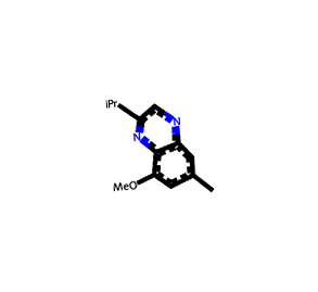 COc1cc(C)cc2ncc(C(C)C)nc12